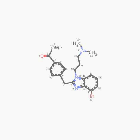 COC(=O)c1ccc(Cc2nc3c(Br)cccc3n2CCCN(C)C)cc1